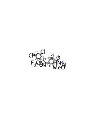 CO/N=C\NC(=O)c1ccc(C2=NO[C@@](c3cc(Cl)cc(Cl)c3)(C(F)(F)F)C2)cc1C